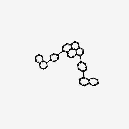 c1ccc2c(-c3ccc(-c4ccc5ccc6ccc(-c7ccc(-c8cccc9ccccc89)cc7)c7ccc4c5c67)cc3)cccc2c1